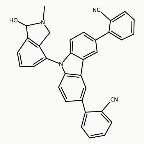 CN1Cc2c(cccc2-n2c3ccc(-c4ccccc4C#N)cc3c3cc(-c4ccccc4C#N)ccc32)C1O